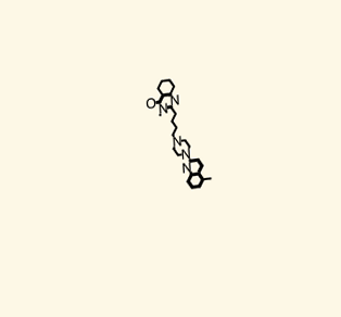 Cc1cccc2nc(N3CCN(CCCCc4nc5c(c(=O)n4C)CCCC5)CC3)ccc12